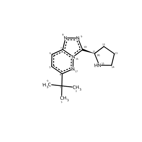 CC(C)(C)c1ccc2nnc([C@H]3CCCN3)n2n1